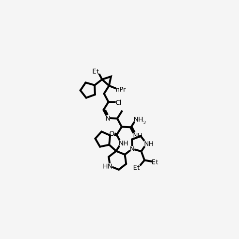 CCCC1(CC(Cl)/C=N\C(C)C(C(=N)N)C(=O)NC2(C3CCCC3)CNCCC2N2CCNC2C(CC)CC)CC1(CC)C1CCCC1